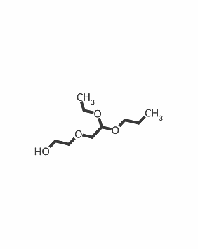 CCCOC(COCCO)OCC